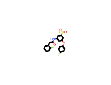 O=C(Cc1ccccc1F)Nc1cc(Oc2ccc(F)cc2)cc([SH](=O)=O)c1